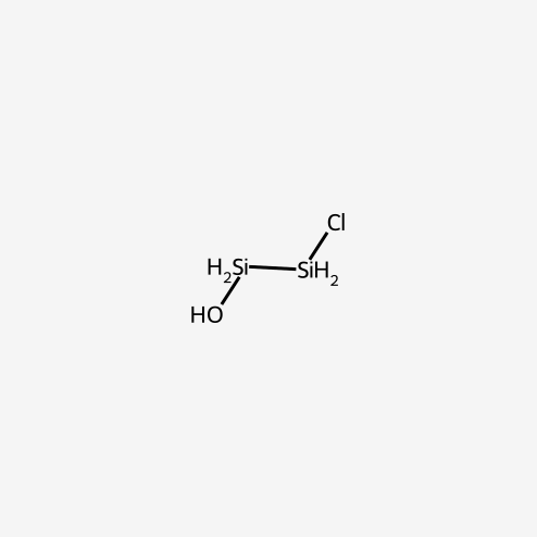 O[SiH2][SiH2]Cl